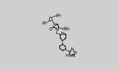 CCCCc1cn(C2C(C(C)C)CC2C(C)C)c(=O)n1Cc1cc(-c2cccc(-c3nnn[nH]3)c2)ccn1